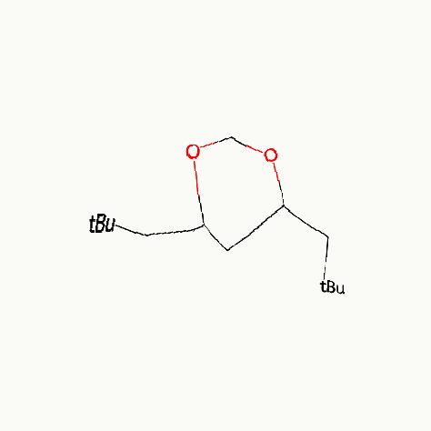 CC(C)(C)CC1CC(CC(C)(C)C)OCO1